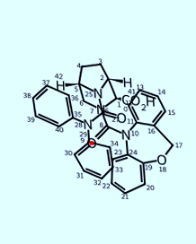 O=C(O)[C@@H]1[C@H]2CC[C@@H](CN1C(=O)N1c3ccccc3COc3ccccc31)N2C(=O)N(c1ccccc1)c1ccccc1